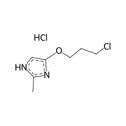 Cc1nc(OCCCCl)c[nH]1.Cl